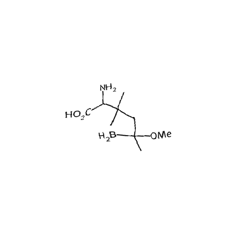 BC(C)(CC(C)(C)C(N)C(=O)O)OC